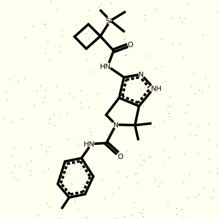 Cc1ccc(NC(=O)N2Cc3c(NC(=O)C4([Si](C)(C)C)CCC4)n[nH]c3C2(C)C)cc1